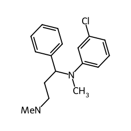 CNCCC(c1ccccc1)N(C)c1cccc(Cl)c1